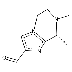 C[C@@H]1c2nc(C=O)cn2CCN1C